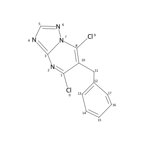 Clc1nc2ncnn2c(Cl)c1Cc1ccccc1